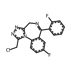 Fc1ccc2c(c1)C(c1ccccc1F)=NCc1nnc(CCl)n1-2